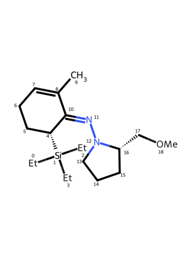 CC[Si](CC)(CC)[C@@H]1CCC=C(C)/C1=N/N1CCC[C@H]1COC